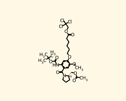 COc1cc(C(=O)N2CCC[C@H]2COC(C)=O)c(NC(=O)OC(C)(C)C)cc1OCCCCCC(=O)OCC(Cl)(Cl)Cl